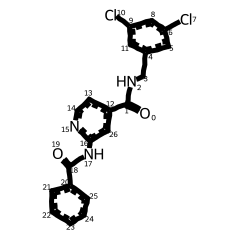 O=C(NCc1cc(Cl)cc(Cl)c1)c1ccnc(NC(=O)c2ccccc2)c1